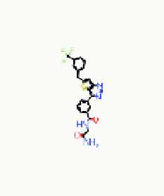 NC(=O)CNC(=O)c1cccc(-c2ncnc3cc(Cc4cccc(C(F)(F)F)c4)sc23)c1